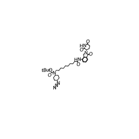 CC(C)(C)OC(=O)N(CCCCCCCCCC(=O)Nc1cccc2c1CN(C1CCC(=O)NC1=O)C2=O)C1CCC(N=[N+]=[N-])CC1